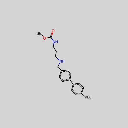 CCCCc1ccc(-c2ccc(CNCCCNC(=O)OC(C)(C)C)cc2)cc1